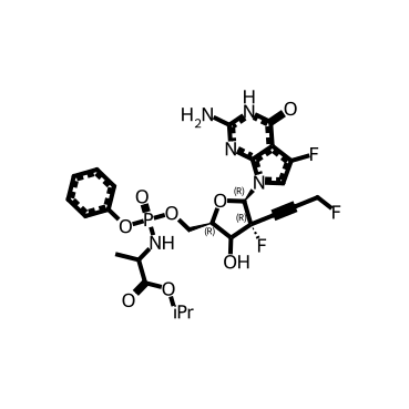 CC(C)OC(=O)C(C)NP(=O)(OC[C@H]1O[C@@H](n2cc(F)c3c(=O)[nH]c(N)nc32)[C@@](F)(C#CCF)C1O)Oc1ccccc1